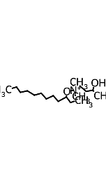 CCCCCCCCCC(CC)O[N+](C)(C)CCC(C)O